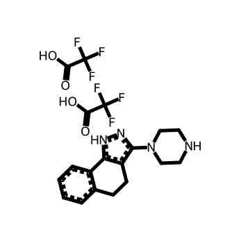 O=C(O)C(F)(F)F.O=C(O)C(F)(F)F.c1ccc2c(c1)CCc1c(N3CCNCC3)n[nH]c1-2